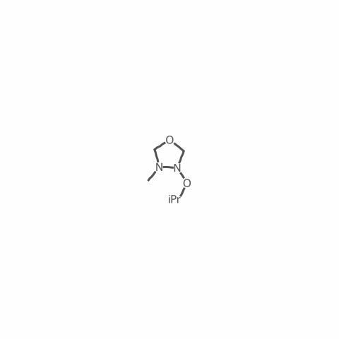 CC(C)ON1COCN1C